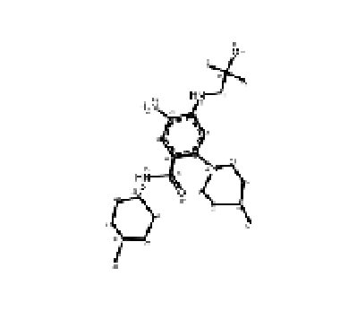 CC1CCN(c2cc(NCC(C)(C)O)c(N)cc2C(=O)N[C@H]2CC[C@H](C)CC2)CC1